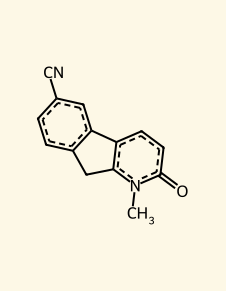 Cn1c2c(ccc1=O)-c1cc(C#N)ccc1C2